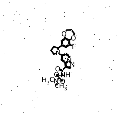 CN(C)S(=O)(=O)NC(=O)c1cnn2ccc(N3CCCC3c3cc(F)c4c(c3)OCCCO4)cc12